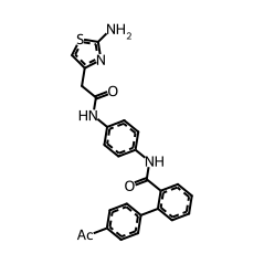 CC(=O)c1ccc(-c2ccccc2C(=O)Nc2ccc(NC(=O)Cc3csc(N)n3)cc2)cc1